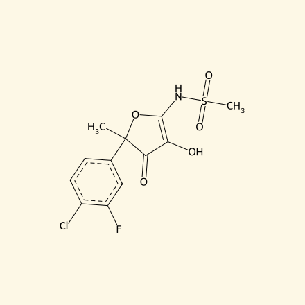 CC1(c2ccc(Cl)c(F)c2)OC(NS(C)(=O)=O)=C(O)C1=O